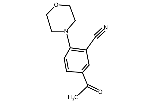 CC(=O)c1ccc(N2CCOCC2)c(C#N)c1